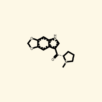 CN1CCC[C@H]1C(=O)c1c[nH]c2cc3c(cc12)OCO3